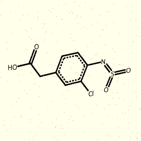 O=C(O)Cc1ccc(N=S(=O)=O)c(Cl)c1